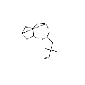 [CH2]CC(C)(C)C[C]1OC2CC3CC2CC3O1